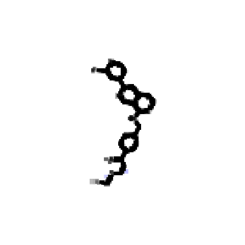 C=C(/C=C\N=C\C)c1ccc(CNc2nccc3cc(-c4ccnc(Cl)c4)ncc23)cc1